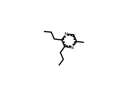 CCCc1ncc(C)nc1CCC